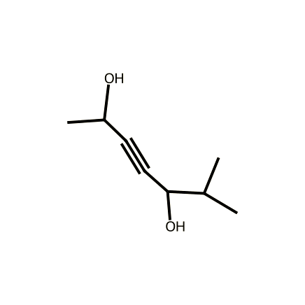 CC(O)C#CC(O)C(C)C